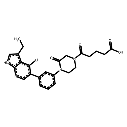 CCc1c[nH]c2ncc(-c3cccc(N4CCN(C(=O)CCCC(=O)O)CC4=O)c3)c(Cl)c12